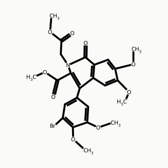 COC(=O)Cn1c(C(=O)OC)c(-c2cc(Br)c(OC)c(OC)c2)c2cc(OC)c(OC)cc2c1=O